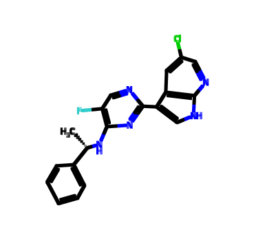 C[C@H](Nc1nc(-c2c[nH]c3ncc(Cl)cc23)ncc1F)c1ccccc1